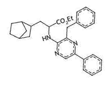 CCOC(=O)C(CC1CC2CCC1C2)Nc1ncc(-c2ccccc2)nc1Cc1ccccc1